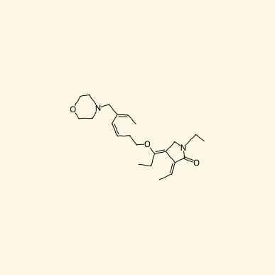 C/C=C(\C=C/CCO/C(CC)=C1\CN(CC)C(=O)\C1=C\C)CN1CCOCC1